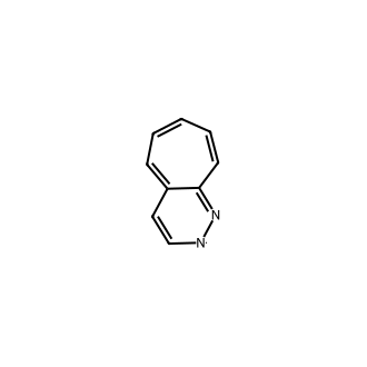 C1=CC=C2C=C[N]N=C2C=C1